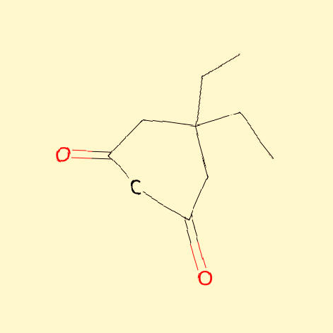 CCC1(CC)CC(=O)CC(=O)C1